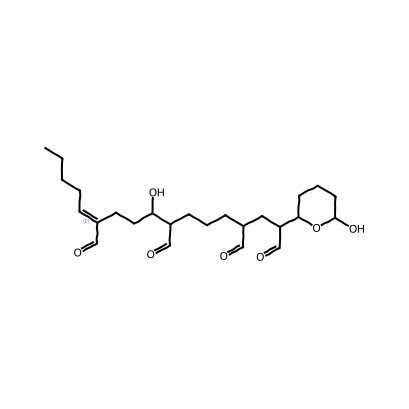 CCCC/C=C(/C=O)CCC(O)C(C=O)CCCC(C=O)CC(C=O)C1CCCC(O)O1